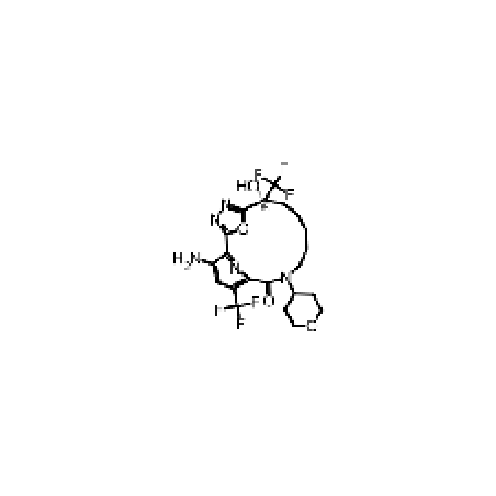 Nc1cc(C(F)(F)F)c2nc1-c1nnc(o1)[C@@](O)(C(F)(F)F)CCCCCN(C1CCOCC1)C2=O